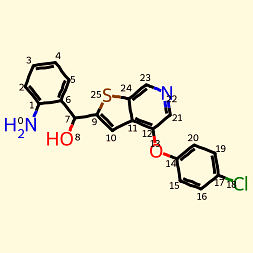 Nc1ccccc1C(O)c1cc2c(Oc3ccc(Cl)cc3)cncc2s1